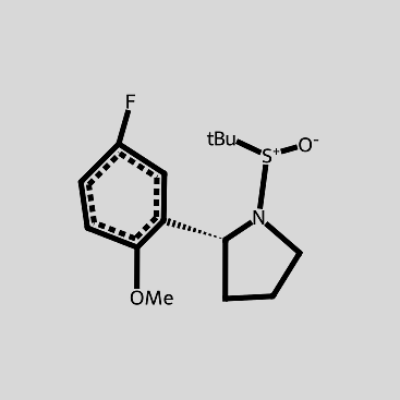 COc1ccc(F)cc1[C@H]1CCCN1[S+]([O-])C(C)(C)C